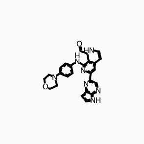 O=CC1NC=Cc2cc(-c3cnc4[nH]ccc4n3)nc(Nc3ccc(N4CCOCC4)cc3)c21